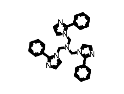 c1ccc(-c2nccn2CN(Cn2ccnc2-c2ccccc2)Cn2ccnc2-c2ccccc2)cc1